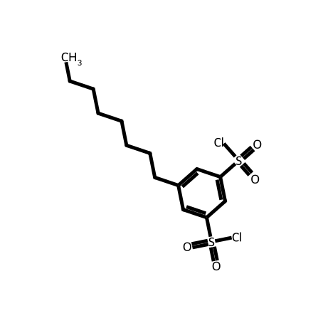 CCCCCCCCc1cc(S(=O)(=O)Cl)cc(S(=O)(=O)Cl)c1